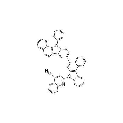 N#Cc1cc(-n2c3ccccc3c3c4ccccc4c(-c4ccc5c(c4)c4ccc6ccccc6c4n5-c4ccccc4)cc32)nc2ccccc12